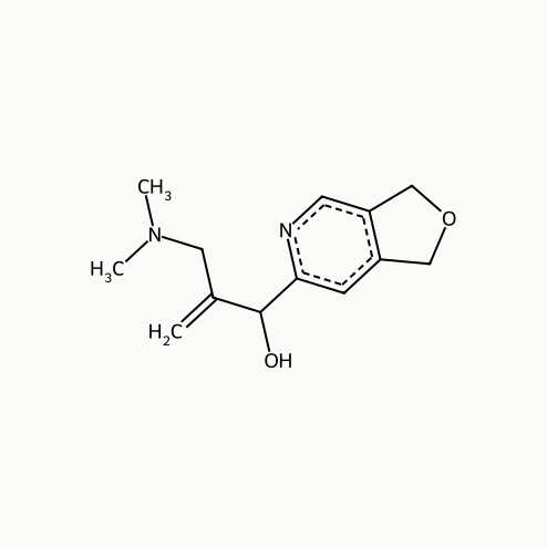 C=C(CN(C)C)C(O)c1cc2c(cn1)COC2